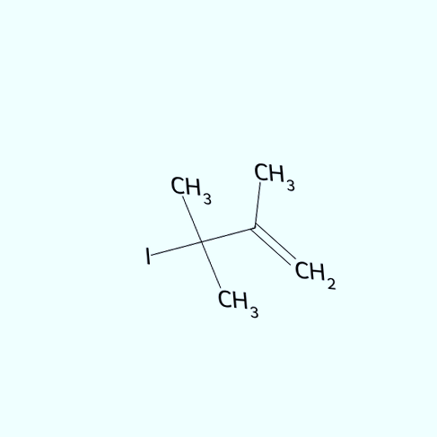 C=C(C)C(C)(C)I